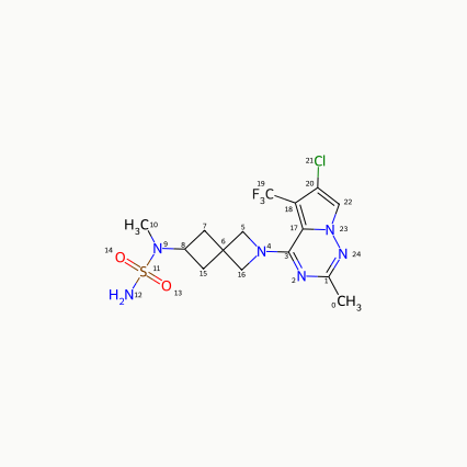 Cc1nc(N2CC3(CC(N(C)S(N)(=O)=O)C3)C2)c2c(C(F)(F)F)c(Cl)cn2n1